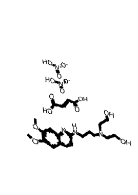 COc1cc2ccc(NCCCN(CCO)CCO)nc2cc1OC.O=C(O)C=CC(=O)O.O=[N+]([O-])O.O=[N+]([O-])O